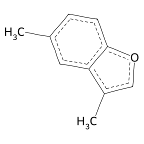 Cc1ccc2occ(C)c2c1